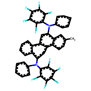 Cc1ccc2c(c1)c(N(c1ccccc1)c1c(F)c(F)c(F)c(F)c1F)cc1c3ccccc3c(N(c3ccccc3)c3c(F)c(F)c(F)c(F)c3F)cc21